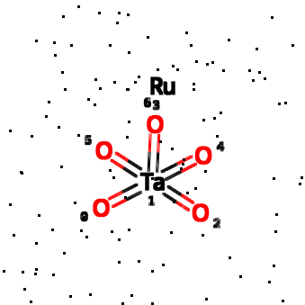 [O]=[Ta](=[O])(=[O])(=[O])=[O].[Ru]